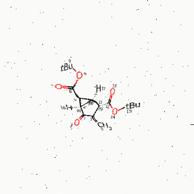 C=C1C(=O)[C@H]2C(C(=O)OC(C)(C)C)[C@H]2[C@@H]1C(=O)OC(C)(C)C